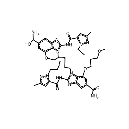 CCn1nc(C)cc1C(=O)Nc1nc2cc(C(N)O)cc3c2n1[C@@H](CCCn1c(NC(=O)c2cc(C)nn2CCF)nc2cc(C(N)=O)cc(OCCCOC)c21)CO3